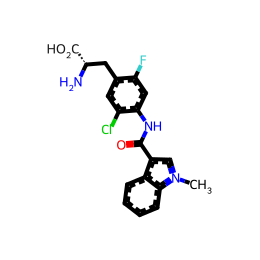 Cn1cc(C(=O)Nc2cc(F)c(C[C@H](N)C(=O)O)cc2Cl)c2ccccc21